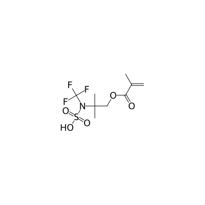 C=C(C)C(=O)OCC(C)(C)N(C(F)(F)F)S(=O)(=O)O